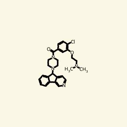 CN(C)CCOc1cc(C(=O)N2CCN(C3c4ccccc4-c4cnccc43)CC2)ccc1Cl